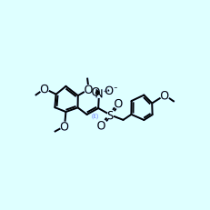 COc1ccc(CS(=O)(=O)/C(=C/c2c(OC)cc(OC)cc2OC)[N+](=O)[O-])cc1